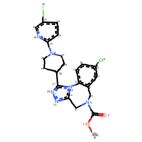 CC[C@H](C)OC(=O)N1Cc2cc(Cl)ccc2-n2c(nnc2C2CCN(c3ccc(F)cn3)CC2)C1